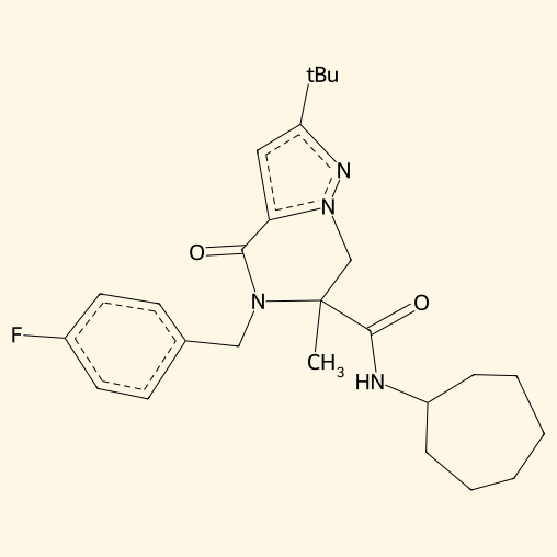 CC(C)(C)c1cc2n(n1)CC(C)(C(=O)NC1CCCCCC1)N(Cc1ccc(F)cc1)C2=O